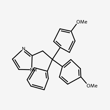 COc1ccc(C(Cc2ncc[nH]2)(c2ccccc2)c2ccc(OC)cc2)cc1